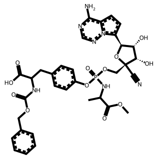 COC(=O)C(C)NP(=O)(OC[C@@]1(C#N)O[C@@H](c2ccc3c(N)ncnn23)[C@H](O)[C@@H]1O)Oc1ccc(CC(NC(=O)OCc2ccccc2)C(=O)O)cc1